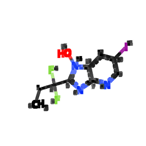 CCC(F)(F)c1nc2ncc(I)cc2n1O